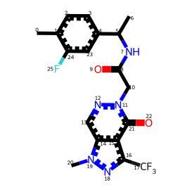 Cc1ccc(C(C)NC(=O)Cn2ncc3c(c(C(F)(F)F)nn3C)c2=O)cc1F